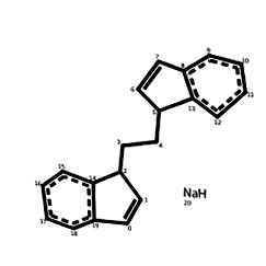 C1=CC(CCC2C=Cc3ccccc32)c2ccccc21.[NaH]